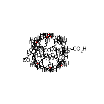 O=C(O)CCSC[C@H]1O[C@@H]2O[C@H]3[C@H](O)[C@@H](O)[C@@H](O[C@H]4[C@H](O)[C@@H](O)[C@@H](O[C@H]5[C@H](O)[C@@H](O)[C@@H](O[C@H]6[C@H](O)[C@@H](O)[C@@H](O[C@H]7[C@H](O)[C@@H](O)[C@@H](O[C@H]8[C@H](O)[C@@H](O)[C@@H](O[C@H]9[C@H](O)[C@@H](O)[C@@H](O[C@H]1[C@H](O)[C@H]2O)O[C@@H]9CSCCC(=O)O)O[C@@H]8CSCCC(=O)O)O[C@@H]7CSCCC(=O)O)O[C@@H]6CSCCC(=O)O)O[C@@H]5CSCCC(=O)O)O[C@@H]4CSCCC(=O)O)O[C@@H]3CSCCC(=O)O